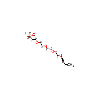 CCC#COCCOCCOCCOCCS(=O)(=O)O